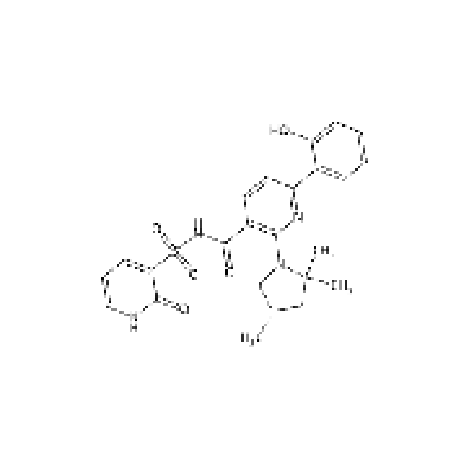 C[C@@H]1CN(c2nc(-c3ccccc3O)ccc2C(=O)NS(=O)(=O)c2ccc[nH]c2=O)C(C)(C)C1